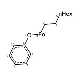 CCCCCCC[CH2][Po][O]c1ccccc1